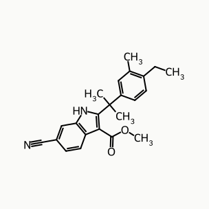 CCc1ccc(C(C)(C)c2[nH]c3cc(C#N)ccc3c2C(=O)OC)cc1C